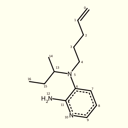 C=CCCCN(c1cccnc1N)C(C)CC